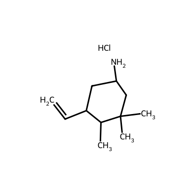 C=CC1CC(N)CC(C)(C)C1C.Cl